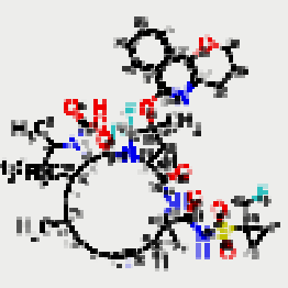 CCC(C)N(C(=O)O)[C@@H]1C(=O)N2[C@@H](C[C@@](C)(Oc3nc4c(c5ccccc35)OCCC4)C2(F)F)C(=O)N[C@]2(C(=O)NS(=O)(=O)C3(CF)CC3)C[C@H]2/C=C\CC[C@@H](C)C[C@H]1C